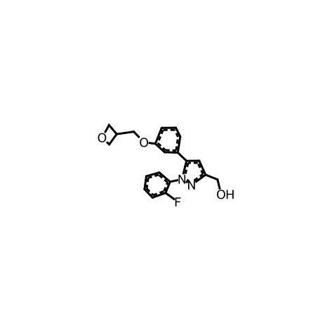 OCc1cc(-c2cccc(OCC3COC3)c2)n(-c2ccccc2F)n1